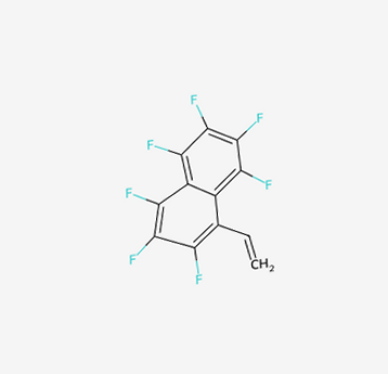 C=Cc1c(F)c(F)c(F)c2c(F)c(F)c(F)c(F)c12